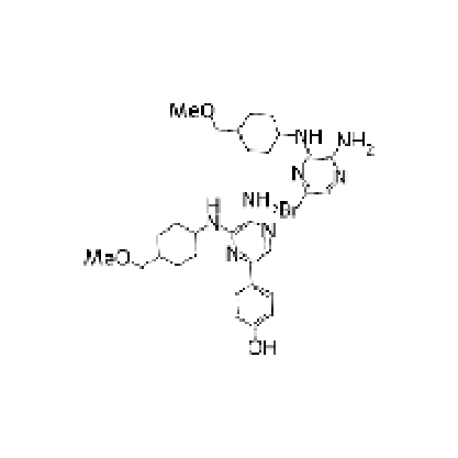 COCC1CCC(Nc2nc(-c3ccc(O)cc3)cnc2N)CC1.COCC1CCC(Nc2nc(Br)cnc2N)CC1